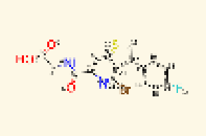 O=C(O)CNC(=O)c1cc2scc(-c3ccc(F)cc3)c2c(Br)n1